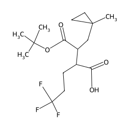 CC1(CC(C(=O)OC(C)(C)C)C(CCC(F)(F)F)C(=O)O)CC1